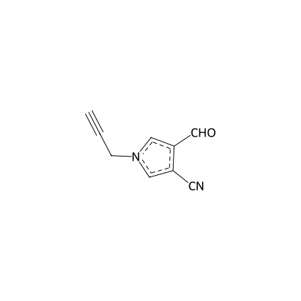 C#CCn1cc(C#N)c(C=O)c1